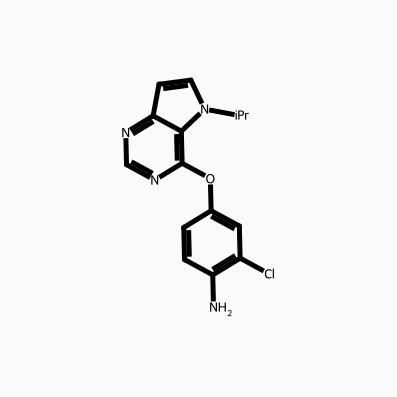 CC(C)n1ccc2ncnc(Oc3ccc(N)c(Cl)c3)c21